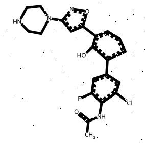 CC(=O)Nc1c(F)cc(-c2cccc(-c3cc(N4CCNCC4)no3)c2O)cc1Cl